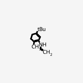 C=CNC1=C(C)CCC(C(C)(C)C)=C1